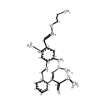 CCCO/N=C/c1cc(C)c(OCc2ccccc2/C(=C/OC)C(=O)OC)cc1C